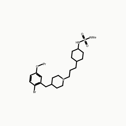 CNS(=O)(=O)NC1CCC(CCCN2CCC(Cc3cc(OC(C)C)ccc3Br)CC2)CC1